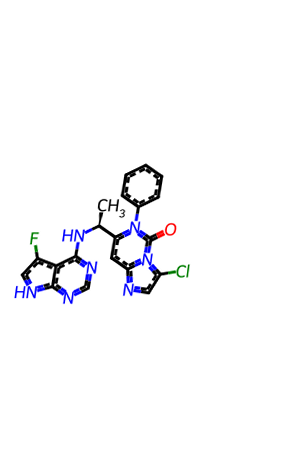 C[C@H](Nc1ncnc2[nH]cc(F)c12)c1cc2ncc(Cl)n2c(=O)n1-c1ccccc1